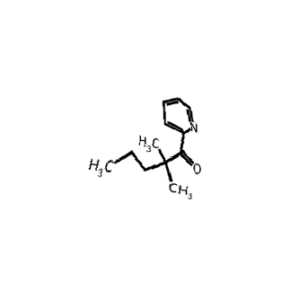 CCCC(C)(C)C(=O)c1ccccn1